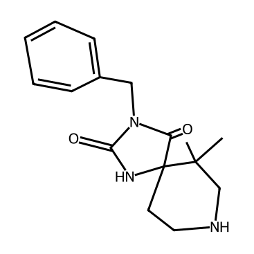 CC1(C)CNCCC12NC(=O)N(Cc1ccccc1)C2=O